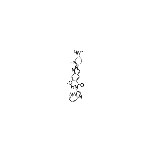 CNC1CC[C@@H](n2cc3cc(C(=O)Nc4cnc5cccnn45)c(OC)cc3n2)[C@H](C)C1